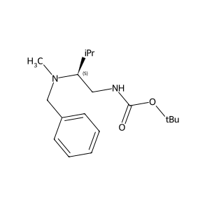 CC(C)[C@@H](CNC(=O)OC(C)(C)C)N(C)Cc1ccccc1